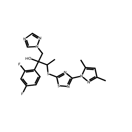 Cc1cc(C)n(-c2nsc(SC(C)C(O)(Cn3cncn3)c3ccc(F)cc3F)n2)n1